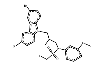 COc1cccc(N(CC(F)Cn2c3ccc(Br)cc3c3cc(Br)ccc32)S(=O)(=O)CF)c1